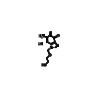 Nc1nc2c(ncn2COCCO)c(=O)[nH]1.[LiH]